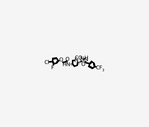 O=C(COc1ccc(Cl)c(F)c1)N[C@H]1CC[C@H](c2nnc(-c3ccc(C(F)(F)F)cc3)o2)N(C(=O)O)C1